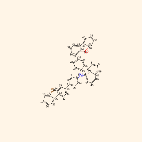 c1ccc2c(N(c3ccc(-c4ccc5c(c4)sc4ccccc45)cc3)c3ccc(-c4cccc5c4oc4ccccc45)cc3)cccc2c1